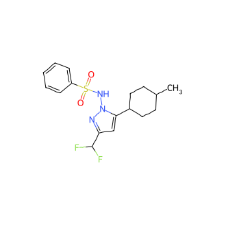 CC1CCC(c2cc(C(F)F)nn2NS(=O)(=O)c2ccccc2)CC1